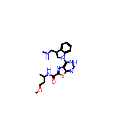 CNCC1CN(C2=c3nc(C(=O)NC(C)CCOC)sc3=NCN2)c2ccccc21